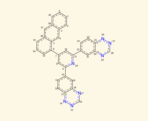 c1ccc2cc3c(-c4cc(-c5ccc6nncnc6c5)nc(-c5ccc6nncnc6c5)c4)cccc3cc2c1